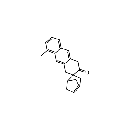 Cc1cccc2cc3c(cc12)CC1(CC2=CCC1C2)C(=O)C3